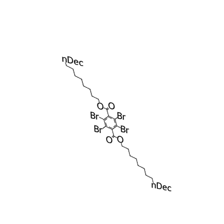 CCCCCCCCCCCCCCCCCCOC(=O)c1c(Br)c(Br)c(C(=O)OCCCCCCCCCCCCCCCCCC)c(Br)c1Br